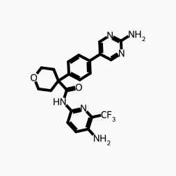 Nc1ncc(-c2ccc(C3(C(=O)Nc4ccc(N)c(C(F)(F)F)n4)CCOCC3)cc2)cn1